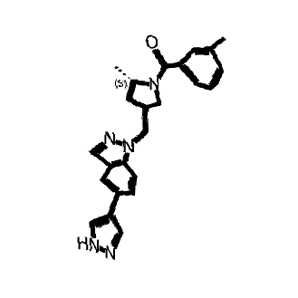 Cc1cccc(C(=O)N2CC(Cn3ncc4cc(-c5cn[nH]c5)ccc43)C[C@@H]2C)c1